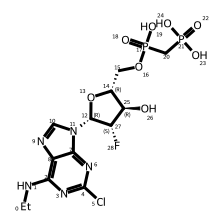 CCNc1nc(Cl)nc2c1ncn2[C@@H]1O[C@H](COP(=O)(O)CP(=O)(O)O)[C@@H](O)[C@@H]1F